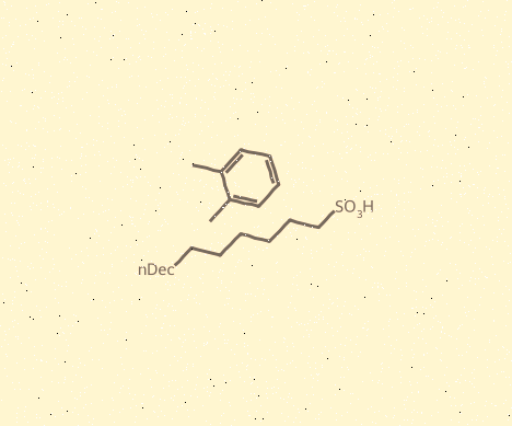 CCCCCCCCCCCCCCCCS(=O)(=O)O.Cc1ccccc1C